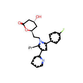 CC(C)c1c(-c2ccccn2)cc(-c2ccc(F)cc2)n1CC[C@@H]1C[C@@H](O)CC(=O)O1